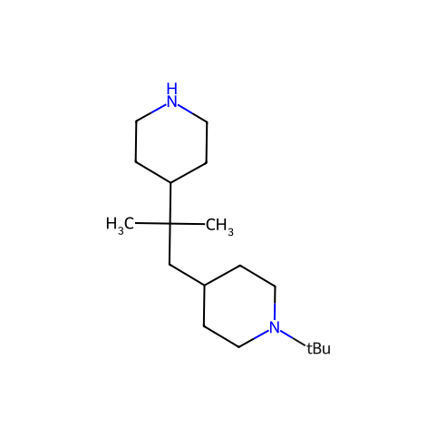 CC(C)(CC1CCN(C(C)(C)C)CC1)C1CCNCC1